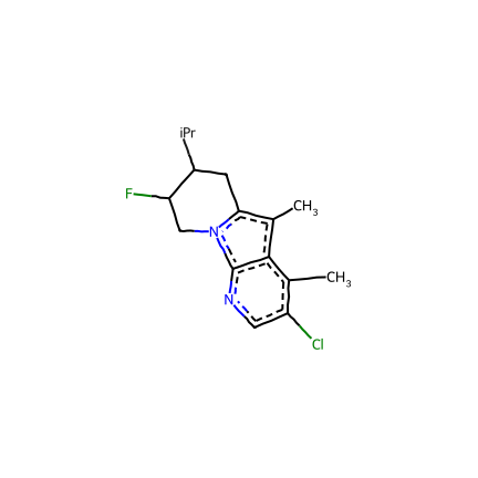 Cc1c(Cl)cnc2c1c(C)c1n2CC(F)C(C(C)C)C1